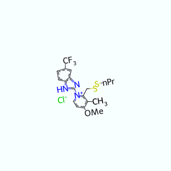 CCCSSCc1c(C)c(OC)cc[n+]1-c1nc2cc(C(F)(F)F)ccc2[nH]1.[Cl-]